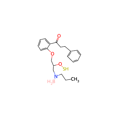 BN(CCC)CC(COc1ccccc1C(=O)CCc1ccccc1)OS